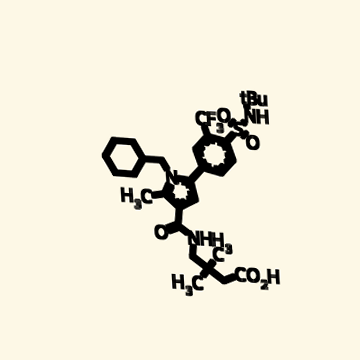 Cc1c(C(=O)NCC(C)(C)CC(=O)O)cc(-c2ccc(S(=O)(=O)NC(C)(C)C)c(C(F)(F)F)c2)n1CC1CCCCC1